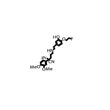 COc1ccc([C@](C#N)(CCCNCCc2ccc(OCCF)c(O)c2)C(C)C)cc1OC